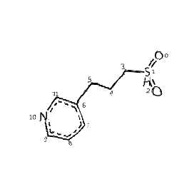 O=[SH](=O)CCCc1cccnc1